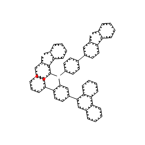 c1ccc(-c2ccc(-c3cc4ccccc4c4ccccc34)cc2N(c2ccc(-c3ccc4c(c3)oc3ccccc34)cc2)c2cccc3oc4ccccc4c23)cc1